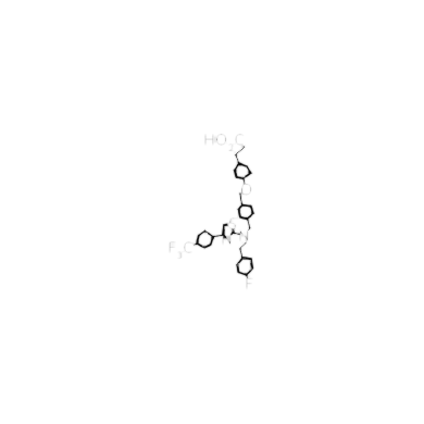 O=C(O)CCc1ccc(OCc2ccc(CN(CCc3ccc(F)cc3)c3nc(-c4ccc(C(F)(F)F)cc4)cs3)cc2)cc1